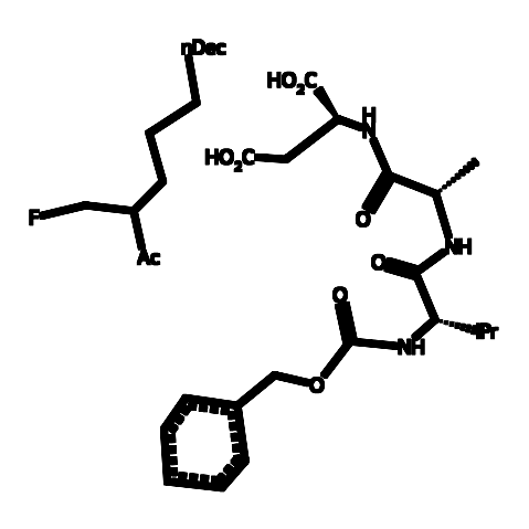 CC(C)[C@H](NC(=O)OCc1ccccc1)C(=O)N[C@@H](C)C(=O)N[C@@H](CC(=O)O)C(=O)O.CCCCCCCCCCCCCC(CF)C(C)=O